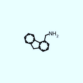 NCc1cccc2c1-c1ccccc1C2